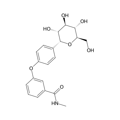 CNC(=O)c1cccc(Oc2ccc([C@H]3O[C@H](CO)[C@@H](O)[C@H](O)[C@H]3O)cc2)c1